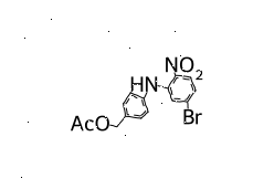 CC(=O)OCc1ccc(Nc2cc(Br)ccc2[N+](=O)[O-])cc1